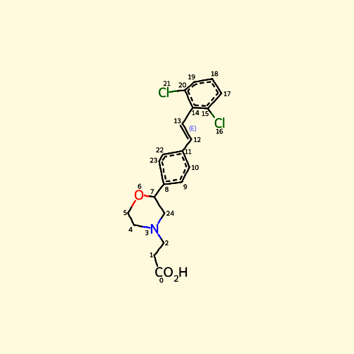 O=C(O)CCN1CCOC(c2ccc(/C=C/c3c(Cl)cccc3Cl)cc2)C1